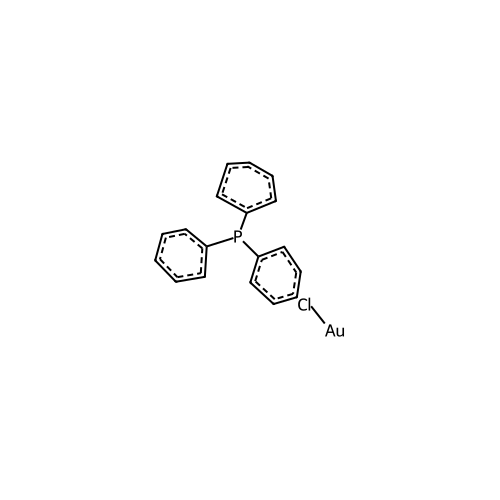 [Cl][Au].c1ccc(P(c2ccccc2)c2ccccc2)cc1